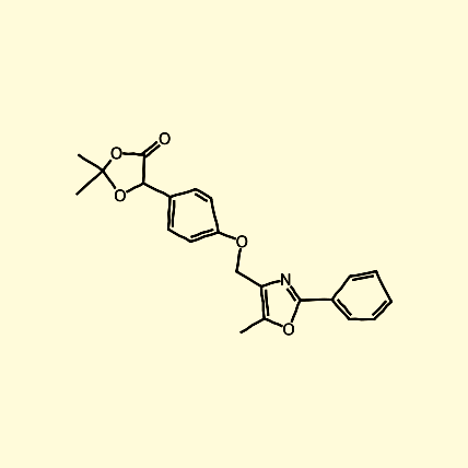 Cc1oc(-c2ccccc2)nc1COc1ccc(C2OC(C)(C)OC2=O)cc1